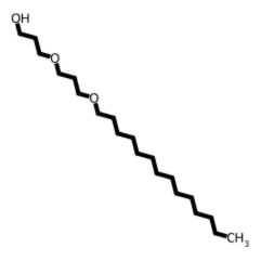 CCCCCCCCCCCCCCOCCCOCCCO